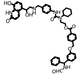 O=CNC(c1ccccc1)c1cccc(OCc2ccc(C(=O)OCCN(C(=O)Nc3ccc(CNCC(O)c4ccc(O)c5[nH]c(=O)ccc45)cc3)C3CCCCC3)cc2)c1